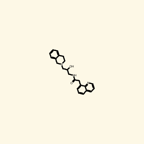 O=C(Cc1cccc2cccnc12)NCC(O)CN1CCc2ccccc2C1